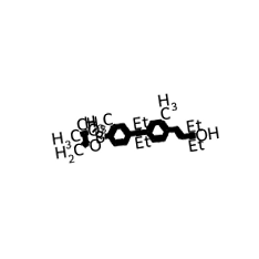 C=C1OB(c2ccc(C(CC)(CC)c3ccc(/C=C/C(O)(CC)CC)c(C)c3)cc2C)OC1(C)C